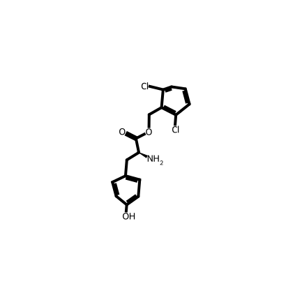 N[C@@H](Cc1ccc(O)cc1)C(=O)OCc1c(Cl)cccc1Cl